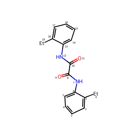 CCc1ccccc1NC(=O)C(=O)Nc1ccccc1CC